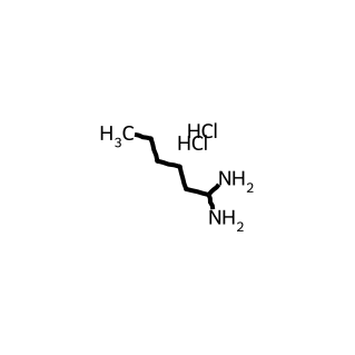 CCCCCC(N)N.Cl.Cl